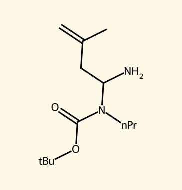 C=C(C)CC(N)N(CCC)C(=O)OC(C)(C)C